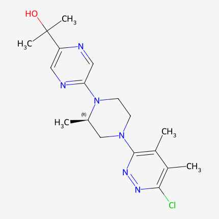 Cc1c(Cl)nnc(N2CCN(c3cnc(C(C)(C)O)cn3)[C@H](C)C2)c1C